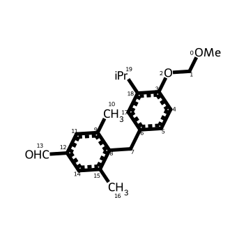 COCOc1ccc(Cc2c(C)cc(C=O)cc2C)cc1C(C)C